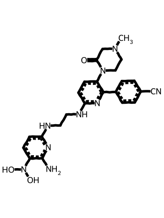 CN1CCN(c2ccc(NCCNc3ccc(N(O)O)c(N)n3)nc2-c2ccc(C#N)cc2)C(=O)C1